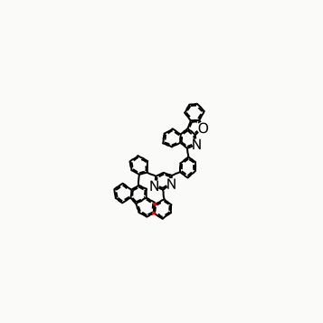 c1ccc(-c2nc(-c3cccc(-c4nc5oc6ccccc6c5c5ccccc45)c3)cc(-c3ccccc3-c3cc4ccccc4c4ccccc34)n2)cc1